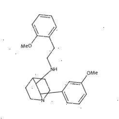 COc1cccc(C2C(NCCc3ccccc3OC)C3CCN2CC3)c1